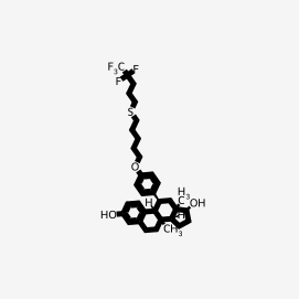 C[C@]12C[C@H](c3ccc(OCCCCCSCCCC(F)(F)C(F)(F)F)cc3)[C@@H]3c4ccc(O)cc4CC[C@@]3(C)[C@@H]1CC[C@@H]2O